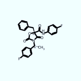 C[C@H](c1ccc(F)cc1)N1C(=O)O[C@](Cc2ccccc2)(C(=O)Nc2ccc(F)cc2)C1=O